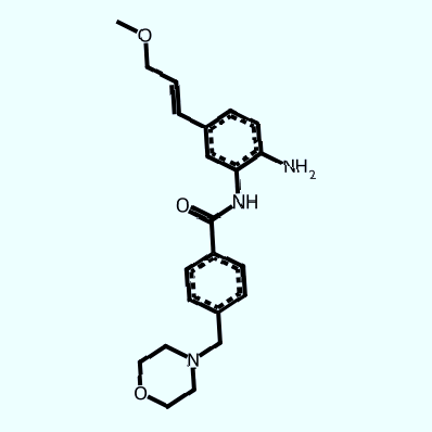 COCC=Cc1ccc(N)c(NC(=O)c2ccc(CN3CCOCC3)cc2)c1